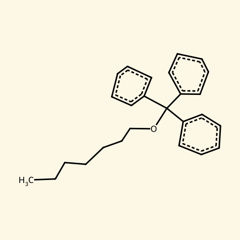 CCCCCCCOC(c1ccccc1)(c1ccccc1)c1ccccc1